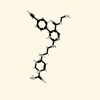 CCOC(=O)c1cnc(NCCNC2=NCN(C(=O)O)C=C2)nc1-c1ccc(C#N)cc1